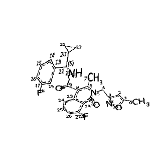 Cc1cc(Cn2c(C)c(C(=O)N[C@H](c3cccc(F)c3)C3CC3)c3cccc(F)c3c2=O)no1